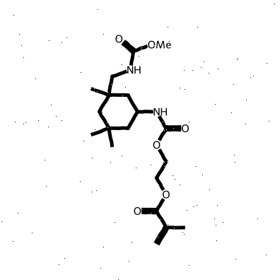 C=C(C)C(=O)OCCOC(=O)NC1CC(C)(C)CC(C)(CNC(=O)OC)C1